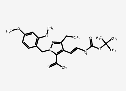 CCc1nn(Cc2ccc(OC)cc2OC)c(C(=O)O)c1C=CNC(=O)OC(C)(C)C